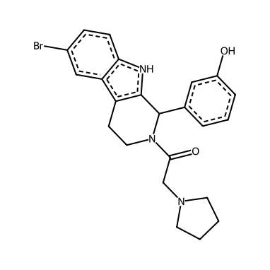 O=C(CN1CCCC1)N1CCc2c([nH]c3ccc(Br)cc23)C1c1cccc(O)c1